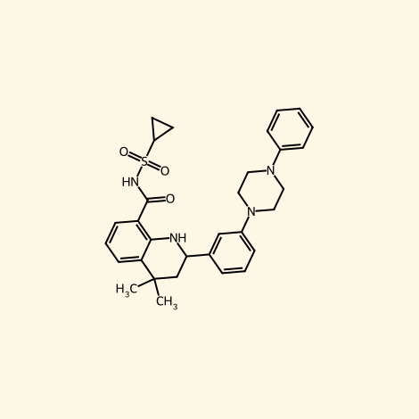 CC1(C)CC(c2cccc(N3CCN(c4ccccc4)CC3)c2)Nc2c(C(=O)NS(=O)(=O)C3CC3)cccc21